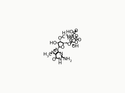 CO[C@H]1[C@@H](O)[C@H](n2c[n+](C)c3c(=O)[nH]c(N)nc32)O[C@@H]1COP(=O)(O)OP(=O)(O)OP(=O)(O)O